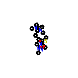 c1ccc(-c2nc(-c3ccccc3)nc(-c3cccc(-c4cccc(-c5cccc(-c6cc7c8c(c6)N(c6ccccc6)c6ccccc6B8c6ccccc6N7c6ccccc6)c5)c4)c3-n3c4ccccc4c4c5sc6ccccc6c5ccc43)n2)cc1